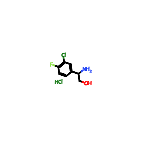 Cl.NC(CO)c1ccc(F)c(Cl)c1